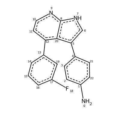 Nc1ccc(-c2c[nH]c3nccc(-c4cccc(F)c4)c23)cc1